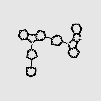 c1ccc(-c2ccc(-n3c4ccccc4c4ccc(-c5ccc(-n6c7ccccc7c7sc8ccccc8c76)cc5)cc43)cc2)nc1